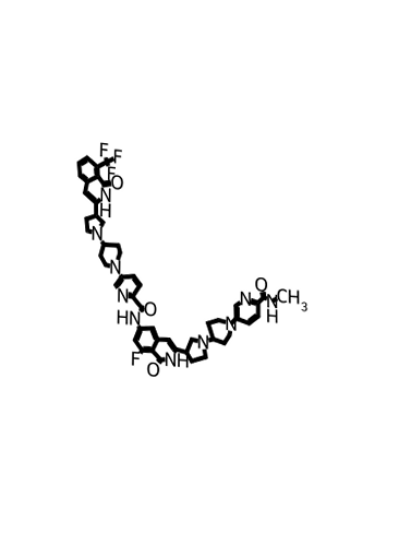 CNC(=O)c1ccc(N2CCC(N3CCC(c4cc5cc(NC(=O)c6ccc(N7CCC(N8CCC(c9cc%10cccc(C(F)(F)F)c%10c(=O)[nH]9)C8)CC7)cn6)cc(F)c5c(=O)[nH]4)C3)CC2)cn1